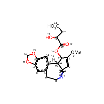 COC1=CC23CCCN2CCc2cc4c(cc2[C@@H]3C1OC(=O)C(O)CC(=O)O)OCO4